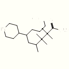 COC(=O)C(C)(C)C(C)(C)C(C)CC(CCCC(=O)O)C1CCNCC1